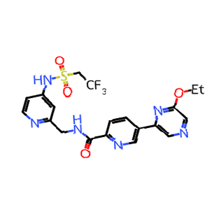 CCOc1cncc(-c2ccc(C(=O)NCc3cc(NS(=O)(=O)CC(F)(F)F)ccn3)nc2)n1